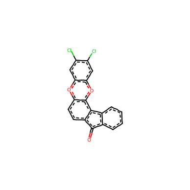 O=c1c2ccccc2c2c1ccc1oc3cc(Cl)c(Cl)cc3oc12